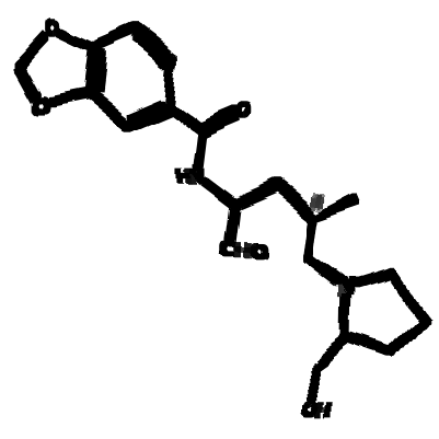 C[C@H](CC(C=O)NC(=O)c1ccc2c(c1)OCO2)CN1CCCC1CO